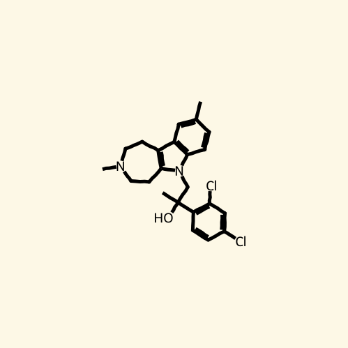 Cc1ccc2c(c1)c1c(n2CC(C)(O)c2ccc(Cl)cc2Cl)CCN(C)CC1